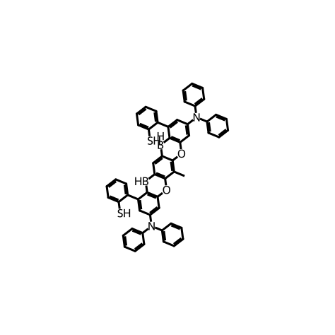 Cc1c2c(cc3c1Oc1cc(N(c4ccccc4)c4ccccc4)cc(-c4ccccc4S)c1B3)Bc1c(cc(N(c3ccccc3)c3ccccc3)cc1-c1ccccc1S)O2